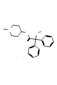 CCCOC(C(=O)OC1CCN(C)CC1)(c1ccccc1)c1ccccc1.Cl